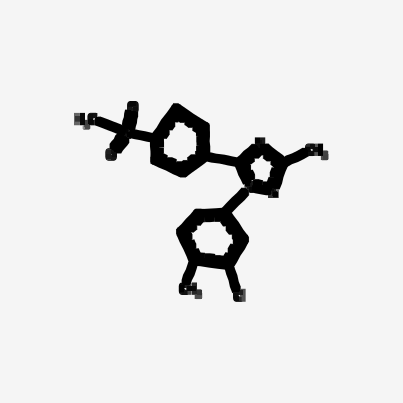 Cc1nc(-c2ccc(S(C)(=O)=O)cc2)n(-c2ccc(C)c(Cl)c2)n1